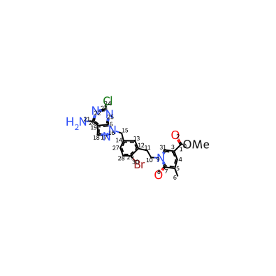 COC(=O)c1cc(C)c(=O)n(CCc2cc(Cn3ncc4c(N)nc(Cl)nc43)ccc2Br)c1